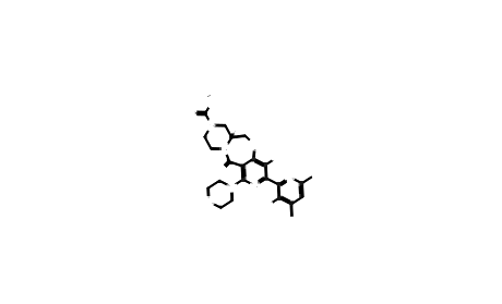 Cc1cc(C)c(C(F)(F)F)c(-c2nc(N3CCOCC3)c3c(c2Cl)OC[C@H]2CN(C(=O)OC(C)(C)C)CCN2C3=O)n1